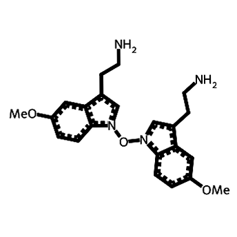 COc1ccc2c(c1)c(CCN)cn2On1cc(CCN)c2cc(OC)ccc21